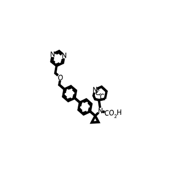 O=C(O)N(C1CCN2CCC1CC2)C1(c2ccc(-c3ccc(COCc4cncnc4)cc3)cc2)CC1